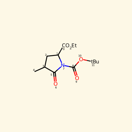 CCOC(=O)C1CC(C)C(=O)N1C(=O)OC(C)(C)C